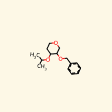 CC(C)OC1CCOCC1OCc1ccccc1